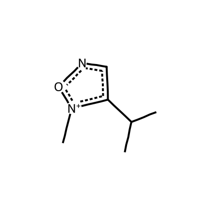 CC(C)c1cno[n+]1C